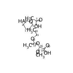 C1C[CH2][AlH][O]C1.CC(=O)O.CCOC(C)OC(OC)C(=O)O